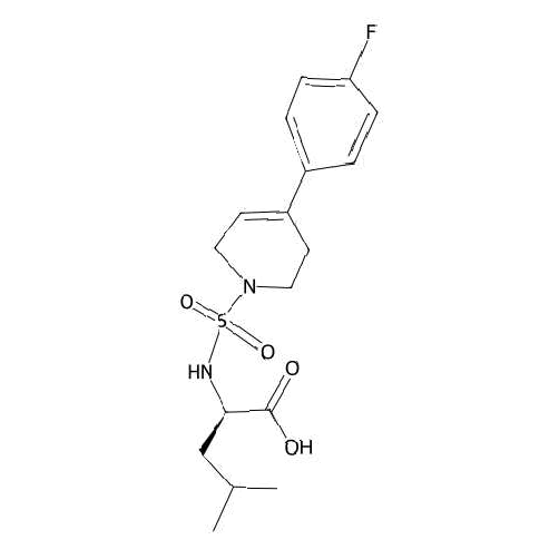 CC(C)C[C@@H](NS(=O)(=O)N1CC=C(c2ccc(F)cc2)CC1)C(=O)O